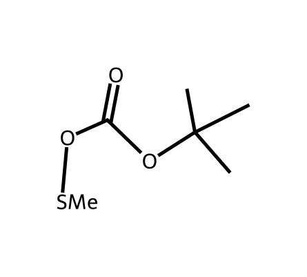 CSOC(=O)OC(C)(C)C